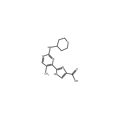 Cc1cnc(NC2CCOCC2)nc1-c1nc(C(=O)O)c[nH]1